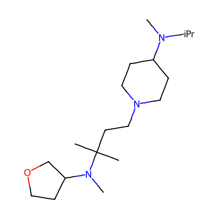 CC(C)N(C)C1CCN(CCC(C)(C)N(C)C2CCOC2)CC1